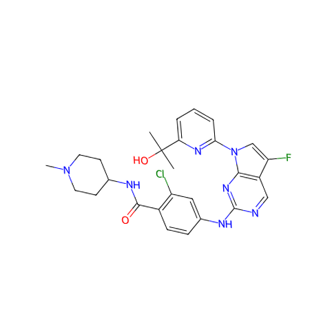 CN1CCC(NC(=O)c2ccc(Nc3ncc4c(F)cn(-c5cccc(C(C)(C)O)n5)c4n3)cc2Cl)CC1